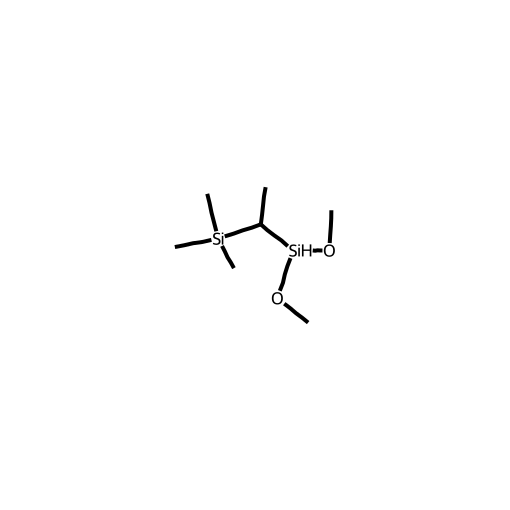 CO[SiH](OC)C(C)[Si](C)(C)C